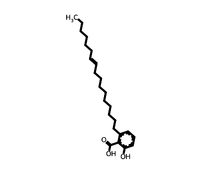 CCCCCC/C=C/CCCCCCCCCc1cccc(O)c1C(=O)O